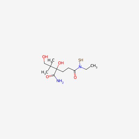 CCN(S)C(=O)CCC(O)(C(N)=O)C(C)(C)CO